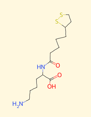 NCCCCC(NC(=O)CCCCC1CCSS1)C(=O)O